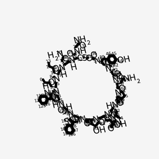 CCCC[C@H]1C(=O)N(C)[C@@H](CCCC)C(=O)N[C@@H](CCN)C(=O)N[C@H](C(=O)NCC(N)=O)CSCC(=O)NC(Cc2ccc(O)cc2)C(=O)N(C)[C@@H](C)C(=O)N[C@@H](CC(N)=O)C(=O)N2CCC[C@H]2C(=O)N[C@@H](Cc2cnc[nH]2)C(=O)N[C@@H](CCC(=O)O)C(=O)N2C[C@H](O)C[C@H]2C(=O)N[C@@H](Cc2csc3ccccc23)C(=O)N[C@@H](C)C(=O)N[C@@H](Cc2c[nH]c3ccccc23)C(=O)N1C